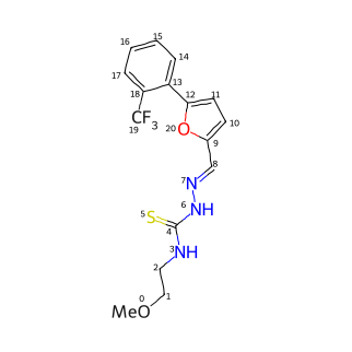 COCCNC(=S)NN=Cc1ccc(-c2ccccc2C(F)(F)F)o1